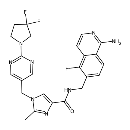 Cc1nc(C(=O)NCc2ccc3c(N)nccc3c2F)cn1Cc1cnc(N2CCC(F)(F)C2)nc1